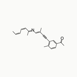 C\C=C/C=C\C(C)=N\C=C(/C)C#Cc1cc(C(C)=O)ccc1C